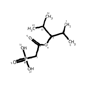 CC(C)C(OC(=O)CP(=O)(O)O)C(C)C